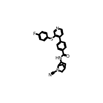 N#CN1CC2CC(NC(=O)c3ccc(-c4ccncc4Sc4ccc(F)cc4)cc3)C1C2